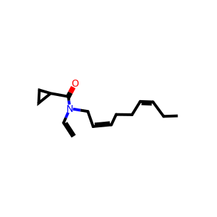 C=CN(C/C=C\CC/C=C\CC)C(=O)C1CC1